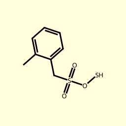 Cc1ccccc1CS(=O)(=O)OS